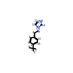 CC(C)(C)c1[c]cc(CCn2ccnc2)cc1